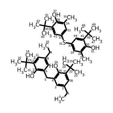 CCc1cc(Cc2cc(CC)cc(C(C)(C)C)c2O)c(O)c(C(C)(C)C)c1.Cc1cc(Sc2cc(C)c(O)c(C(C)(C)C)c2)cc(C(C)(C)C)c1O